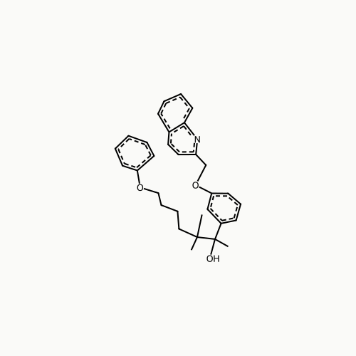 CC(C)(CCCCOc1ccccc1)C(C)(O)c1cccc(OCc2ccc3ccccc3n2)c1